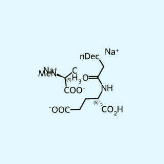 CCCCCCCCCCCC(=O)N[C@@H](CCC(=O)[O-])C(=O)O.CN[C@@H](C)C(=O)[O-].[Na+].[Na+]